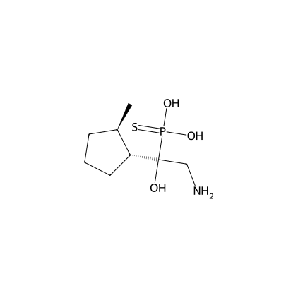 C[C@@H]1CCC[C@H]1C(O)(CN)P(O)(O)=S